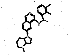 Cc1cccc([C@@H](C)Nc2nncc3ccc(N4CCC5C4CCCN5C)cc23)c1C